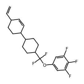 C=CC1C=CC(C2CCC(C(F)(F)Oc3cc(F)c(F)c(F)c3)CC2)CC1